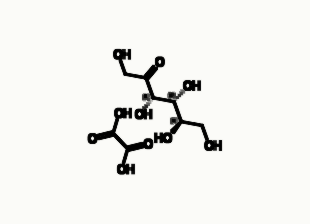 O=C(CO)[C@@H](O)[C@H](O)[C@H](O)CO.O=C(O)C(=O)O